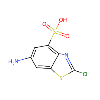 Nc1cc(S(=O)(=O)O)c2nc(Cl)sc2c1